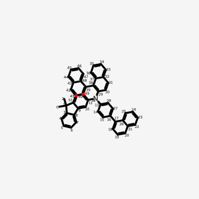 CC1(C)c2ccccc2-c2cc(N(c3ccc(-c4cccc5ccccc45)cc3)c3ccc4ccccc4c3-c3cccc4ccccc34)ccc21